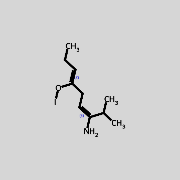 CC/C=C(/C/C=C(/N)C(C)C)OI